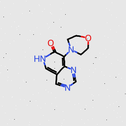 O=c1[nH]cc2cncnc2c1N1CCOCC1